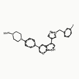 CNN1CCN(c2ccc(-c3cnc4[nH]cc(-c5cnn(Cc6cccc(F)c6)c5)c4c3)cc2)CC1